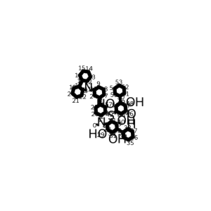 CN(c1ccc(-c2cccc(-n3c4ccccc4c4ccccc43)c2)cc1)c1c(O)c(O)c(-c2ccccc2)c(O)c1Sc1cc(O)c(O)c(-c2ccccc2)c1O